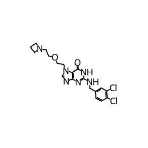 O=c1[nH]c(NCc2ccc(Cl)c(Cl)c2)nc2ncn(CCOCCN3CCC3)c12